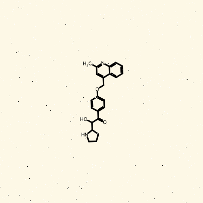 Cc1cc(COc2ccc(C(=O)C(O)C3CCCN3)cc2)c2ccccc2n1